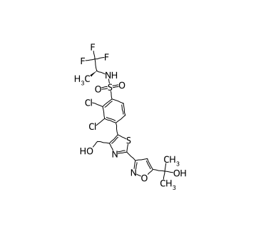 C[C@H](NS(=O)(=O)c1ccc(-c2sc(-c3cc(C(C)(C)O)on3)nc2CO)c(Cl)c1Cl)C(F)(F)F